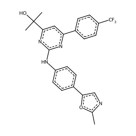 Cc1ncc(-c2ccc(Nc3nc(-c4ccc(C(F)(F)F)cc4)cc(C(C)(C)O)n3)cc2)o1